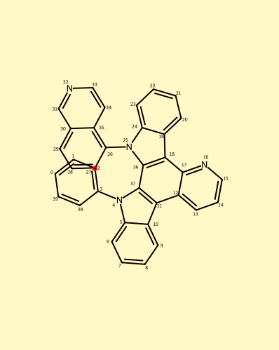 c1ccc(-n2c3ccccc3c3c4cccnc4c4c5ccccc5n(-c5cccc6cnccc56)c4c32)cc1